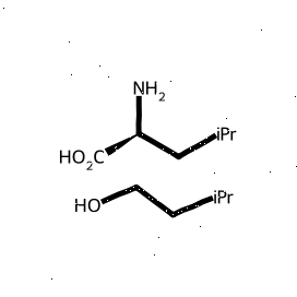 CC(C)CCO.CC(C)C[C@H](N)C(=O)O